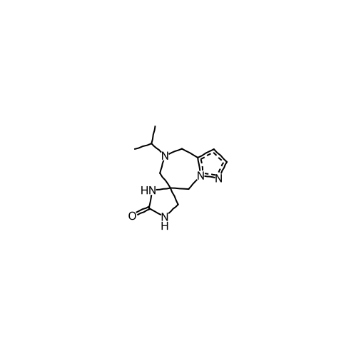 CC(C)N1Cc2ccnn2CC2(CNC(=O)N2)C1